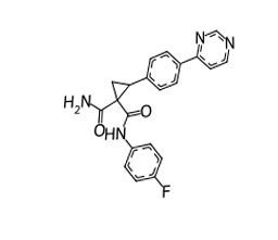 NC(=O)C1(C(=O)Nc2ccc(F)cc2)CC1c1ccc(-c2ccncn2)cc1